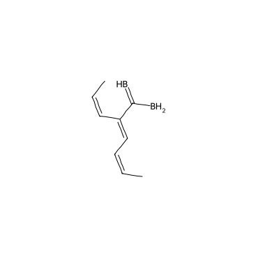 B=C(B)C(/C=C\C)=C/C=C\C